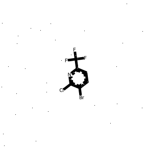 FC(F)(F)c1ccc(Br)c(Cl)n1